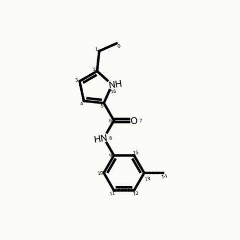 CCc1ccc(C(=O)Nc2cccc(C)c2)[nH]1